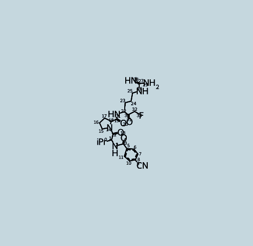 CC(C)C(NC(=O)c1ccc(C#N)cc1)C(=O)N1CCC[C@H]1C(=O)N[C@@H](CCCNC(=N)N)C(=O)CF